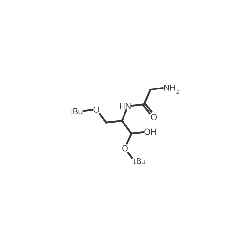 CC(C)(C)OCC(NC(=O)CN)C(O)OC(C)(C)C